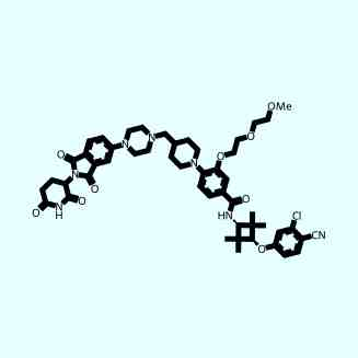 COCCOCCOc1cc(C(=O)N[C@H]2C(C)(C)[C@H](Oc3ccc(C#N)c(Cl)c3)C2(C)C)ccc1N1CCC(CN2CCN(c3ccc4c(c3)C(=O)N(C3CCC(=O)NC3=O)C4=O)CC2)CC1